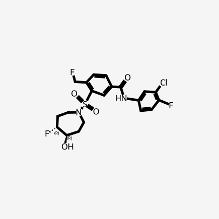 O=C(Nc1ccc(F)c(Cl)c1)c1ccc(CF)c(S(=O)(=O)N2CC[C@@H](O)[C@H](F)CC2)c1